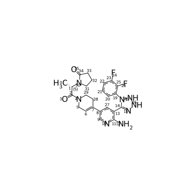 C[C@@H](C(=O)N1CC=C(c2cnc(N)c(C3=NNNN3c3cccc(F)c3F)c2)CC1)N1CCCC1=O